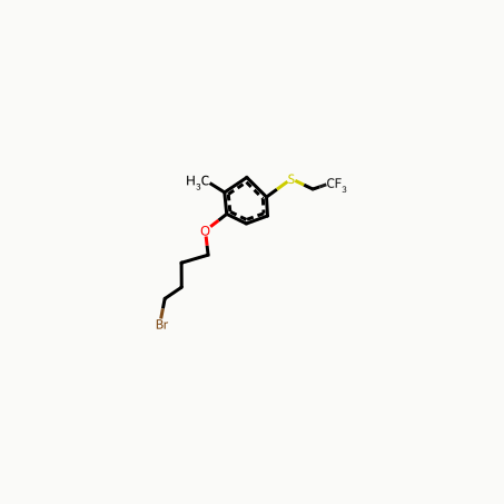 Cc1cc(SCC(F)(F)F)ccc1OCCCCBr